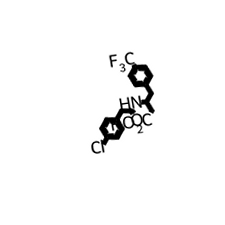 O=C(O)CC(Cc1ccc(C(F)(F)F)cc1)NC(=O)Cc1ccc(Cl)cc1